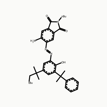 CCCCN1C(=O)c2cc(N)c(/N=N/c3cc(C(C)(C)CC(C)(C)C)cc(C(C)(C)c4ccccc4)c3O)cc2C1=O